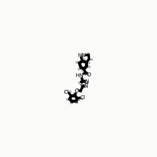 O=C(Nc1nnc(COc2c(Cl)cccc2Cl)s1)c1ccc2c(c1)CCNC2